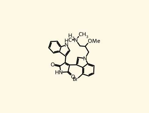 COC(CN(C)C)Cn1cc(C2=C(c3c[nH]c4ccccc34)C(=O)NC2=O)c2c(Br)cccc21